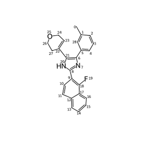 Cc1cccc(-c2nc(-c3ccc4ccccc4c3F)[nH]c2C2=CCOCC2)c1